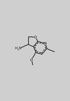 COc1cc(C)nc2c1C(N)CO2